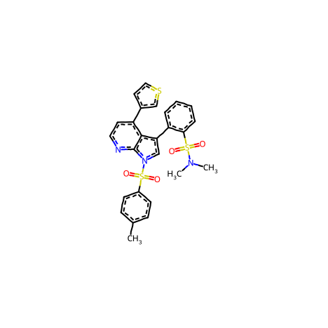 Cc1ccc(S(=O)(=O)n2cc(-c3ccccc3S(=O)(=O)N(C)C)c3c(-c4ccsc4)ccnc32)cc1